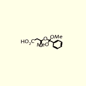 COC(OC)(OC(=O)CC(=O)O)c1ccccc1